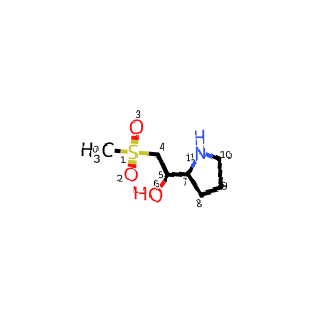 CS(=O)(=O)CC(O)C1CCCN1